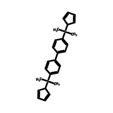 C[Si](C)(c1ccc(-c2ccc([Si](C)(C)C3C=CC=C3)cc2)cc1)C1C=CC=C1